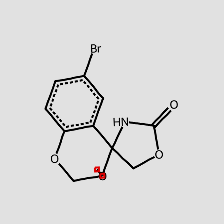 O=C1NC2(CO1)c1cc(Br)ccc1OCC21COC1